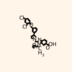 C[C@H]([C@@H]1CCO1)n1c(CN2CC=C(c3cccc(COc4ccc(Cl)cc4Cl)c3)C2)nc2ccc(C(=O)O)cc21